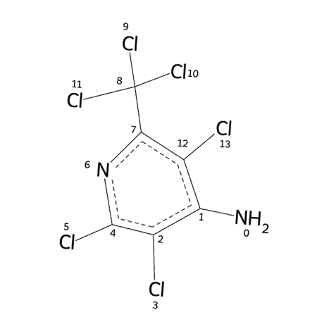 Nc1c(Cl)c(Cl)nc(C(Cl)(Cl)Cl)c1Cl